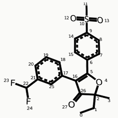 CCC1(C)OC(c2ccc(S(C)(=O)=O)cc2)=C(c2cccc(C(F)F)c2)C1=O